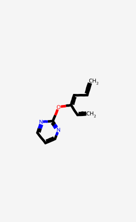 C=C/C=C(\C=C)Oc1ncccn1